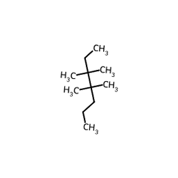 CCCC(C)(C)C(C)(C)CC